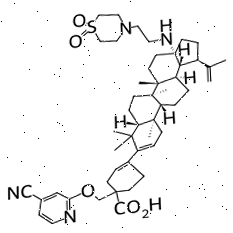 C=C(C)[C@@H]1CC[C@]2(NCCN3CCS(=O)(=O)CC3)CC[C@]3(C)[C@H](CC[C@@H]4[C@@]5(C)CC=C(C6=CCC(COc7cc(C#N)ccn7)(C(=O)O)CC6)C(C)(C)[C@@H]5CC[C@]43C)[C@@H]12